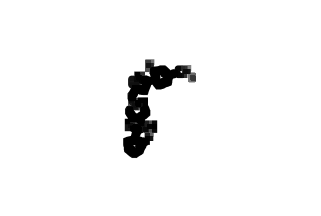 Fc1cc(C(F)(F)F)ccc1-c1cc(CN2Cc3nc(-c4ccccc4F)[nH]c3C=N2)on1